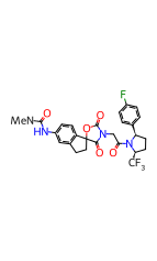 CNC(=O)Nc1ccc2c(c1)CCC21OC(=O)N(CC(=O)N2[C@@H](c3ccc(F)cc3)CC[C@H]2C(F)(F)F)C1=O